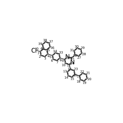 Clc1ccc(-c2ccc(-c3cc(-c4cccc(-c5ccccc5)c4)nc(-c4ccccc4)n3)cc2)c2ccccc12